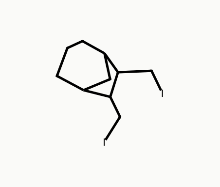 ICC1C2CCCC(C2)C1CI